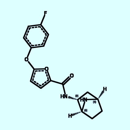 O=C(N[C@@H]1C[C@H]2CC[C@@H]1N2)c1ccc(Oc2ccc(F)cc2)o1